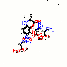 C[C@H](Nc1ccc([N+](=O)[O-])cc1)C(=O)O.NCC(=O)O.NCC(=O)O.NCC(=O)O